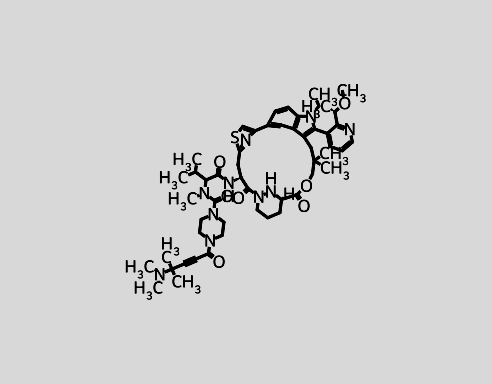 CCn1c(-c2cccnc2[C@H](C)OC)c2c3cc(ccc31)-c1csc(n1)C[C@H](NC(=O)C(C(C)C)N(C)C(=O)N1CCN(C(=O)C#CC(C)(C)N(C)C)CC1)C(=O)N1CCC[C@H](N1)C(=O)OCC(C)(C)C2